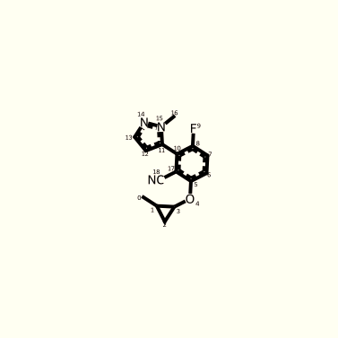 CC1CC1Oc1ccc(F)c(-c2ccnn2C)c1C#N